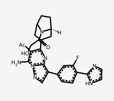 CC(=O)c1c(C2CC3CC[C@@H](C2)N3C(=O)CO)nc2c(-c3ccc(-c4ncc[nH]4)c(F)c3)cnn2c1N